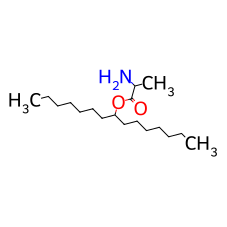 CCCCCCCC(CCCCCCC)OC(=O)C(C)N